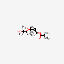 C=C(C)C(=O)OC(C)C1CC1C(C)(C)OC(C)C(C)(C)O